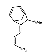 CNC1C2=CC=CC(C2)/C1=C\C=C/N